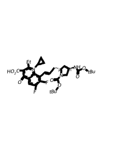 CCc1c(C(=O)O)c(=O)c2cc(F)c(F)c(C=CC[C@@H]3C[C@@H](NC(=O)OC(C)(C)C)CN3C(=O)OC(C)(C)C)c2n1C1CC1